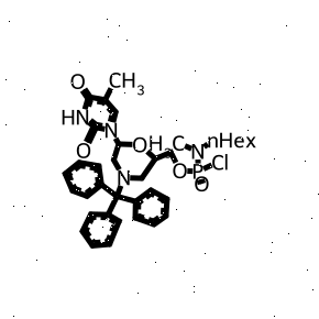 CCCCCCN(C)P(=O)(Cl)OCC1CN(C(c2ccccc2)(c2ccccc2)c2ccccc2)CC(n2cc(C)c(=O)[nH]c2=O)O1